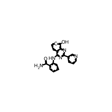 NC(=O)c1ccccc1Nc1nc(-c2cccnc2)nc2c(O)cccc12